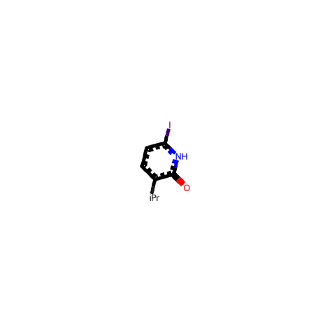 CC(C)c1ccc(I)[nH]c1=O